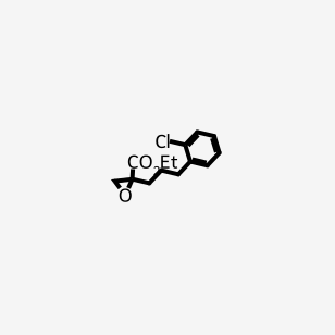 CCOC(=O)C1(CCCc2ccccc2Cl)CO1